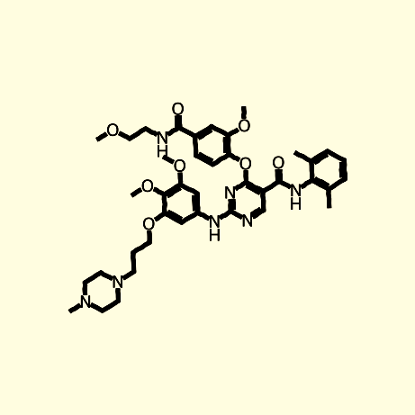 COCCNC(=O)c1ccc(Oc2nc(Nc3cc(OC)c(OC)c(OCCCN4CCN(C)CC4)c3)ncc2C(=O)Nc2c(C)cccc2C)c(OC)c1